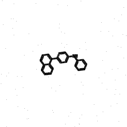 c1ccc(Nc2ccc(-c3cccc4ccccc34)cc2)cc1